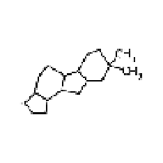 CC1(C)CCC2C(CC3C4CC[CH]C4CCC23)C1